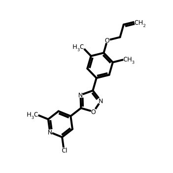 C=CCOc1c(C)cc(-c2noc(-c3cc(C)nc(Cl)c3)n2)cc1C